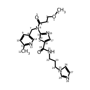 COCCC(=O)N(Cc1ccc(C)nc1)c1ncc(C(=O)NCCCn2ccnc2)s1